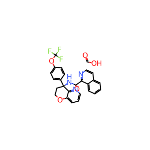 O=C(N[C@]1(c2ccc(OC(F)(F)F)cc2)CCOc2cccnc21)c1nccc2ccccc12.O=CO